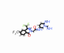 N=Cn1cc(NC(=O)Cn2nc(C(F)F)c3cc(C(F)(F)F)ccc3c2=O)ccc1=N